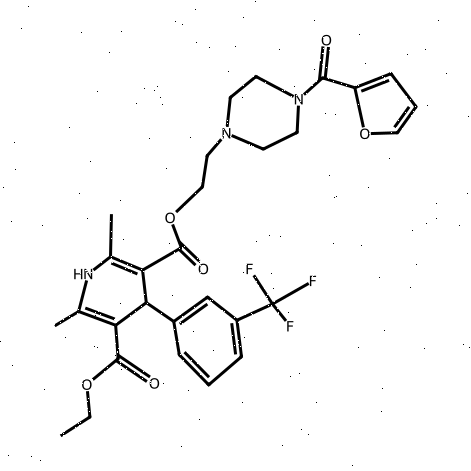 CCOC(=O)C1=C(C)NC(C)=C(C(=O)OCCN2CCN(C(=O)c3ccco3)CC2)C1c1cccc(C(F)(F)F)c1